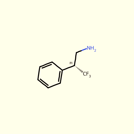 NC[C@@H](c1ccccc1)C(F)(F)F